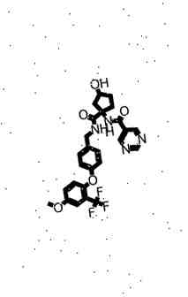 COc1ccc(Oc2ccc(CNC(=O)C3(NC(=O)c4cncnc4)CCC(O)C3)cc2)c(C(F)(F)F)c1